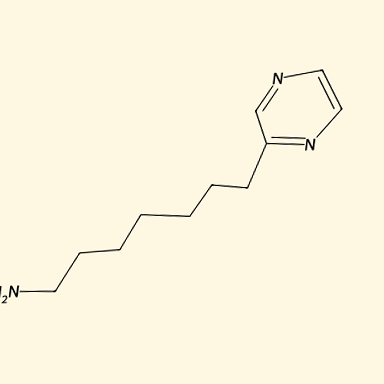 NCCCCCCCc1cnccn1